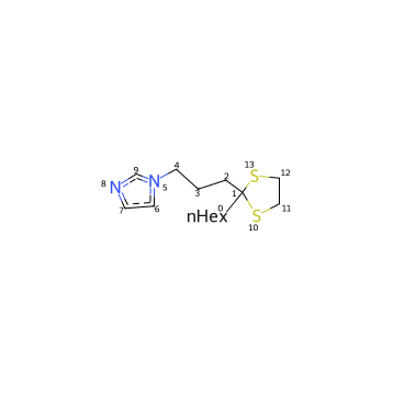 CCCCCCC1(CCCn2ccnc2)SCCS1